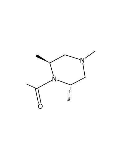 CC(=O)N1[C@@H](C)CN(C)C[C@@H]1C